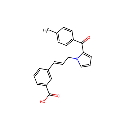 Cc1ccc(C(=O)c2cccn2CC=Cc2cccc(C(=O)O)c2)cc1